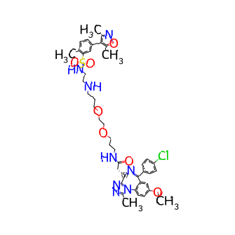 COc1ccc2c(c1)C(c1ccc(Cl)cc1)=N[C@@H](CC(=O)NCCCOCCOCCCNCCNS(=O)(=O)c1cc(-c3c(C)noc3C)ccc1C)c1nnc(C)n1-2